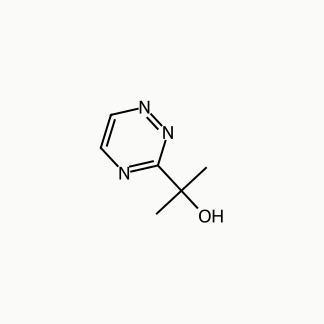 CC(C)(O)c1nccnn1